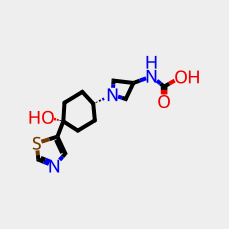 O=C(O)NC1CN([C@H]2CC[C@](O)(c3cncs3)CC2)C1